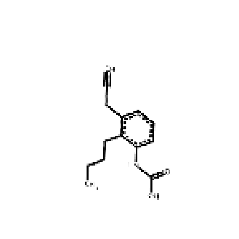 C#CCc1cccc(NC(=O)O)c1CCCC